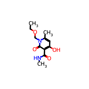 CCOCn1c(C)cc(O)c(C(=O)NC)c1=O